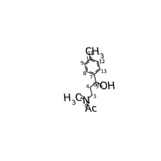 CC(=O)N(C)CC[C@H](O)c1ccc(C)cc1